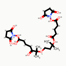 CC(C)(CCOC(C)(C)C(=O)CCCC(O)ON1C(=O)CCC1=O)OC(=O)CCCC(=O)ON1C(=O)CCC1=O